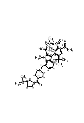 COc1c(C(N)=O)cc(C(C)(C)C)c(-c2c(C(=O)O)n(C)c3c(CN4CCN(C(=O)N5CCC(N(C)C)C5)CC4)cccc23)c1NS(C)(=O)=O